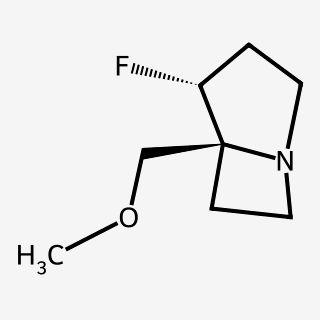 COC[C@]12CCN1CC[C@H]2F